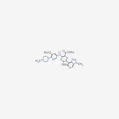 CNc1nc(Nc2cnc(N3CCN(C)CC3)c(OC)c2)c(C(=O)OC)nc1-c1cncc2c1ncn2C